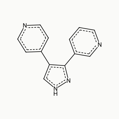 c1cncc(-c2n[nH]cc2-c2ccncc2)c1